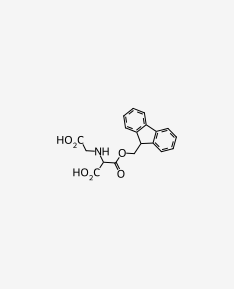 O=C(O)CNC(C(=O)O)C(=O)OCC1c2ccccc2-c2ccccc21